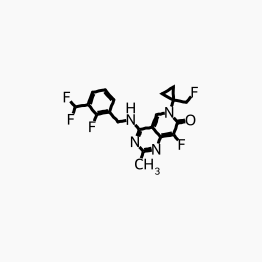 Cc1nc(NCc2cccc(C(F)F)c2F)c2cn(C3(CF)CC3)c(=O)c(F)c2n1